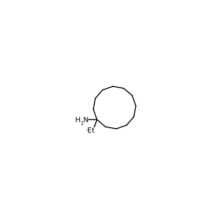 C[CH]C1(N)CCCCCCCCCCC1